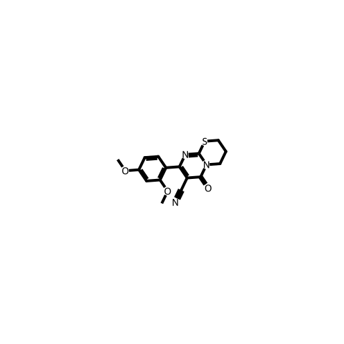 COc1ccc(-c2nc3n(c(=O)c2C#N)CCCS3)c(OC)c1